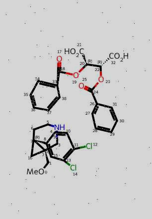 COC[C@]12CNCC[C@@]1(c1ccc(Cl)c(Cl)c1)C2.O=C(O[C@@H](C(=O)O)[C@@H](OC(=O)c1ccccc1)C(=O)O)c1ccccc1